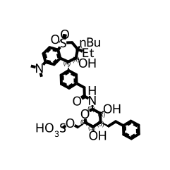 CCCC[C@]1(CC)CS(=O)(=O)c2ccc(N(C)C)cc2[C@@H](c2cccc(CC(=O)N[C@@H]3O[C@H](COS(=O)(=O)O)[C@@H](O)[C@H](CCc4ccccc4)[C@H]3O)c2)[C@H]1O